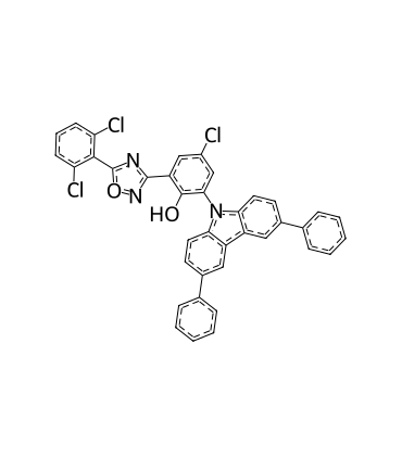 Oc1c(-c2noc(-c3c(Cl)cccc3Cl)n2)cc(Cl)cc1-n1c2ccc(-c3ccccc3)cc2c2cc(-c3ccccc3)ccc21